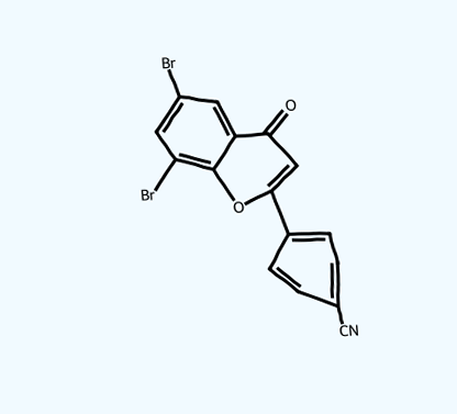 N#Cc1ccc(-c2cc(=O)c3cc(Br)cc(Br)c3o2)cc1